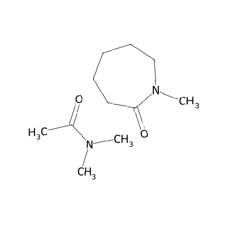 CC(=O)N(C)C.CN1CCCCCC1=O